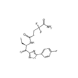 CC[C@@H](NC(=O)[CH]CC(F)(F)C(N)=O)C(=O)c1noc(-c2ccc(F)cc2)n1